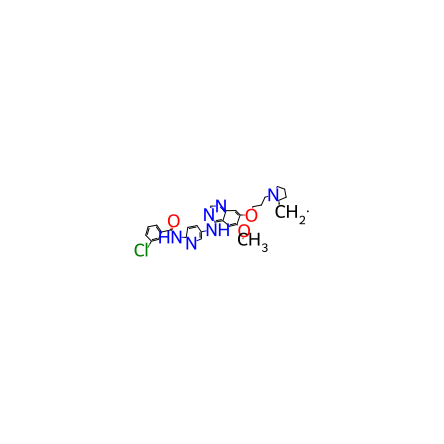 [CH2][C@@H]1CCCN1CCCOc1cc2ncnc(Nc3ccc(NC(=O)c4cccc(Cl)c4)nc3)c2cc1OC